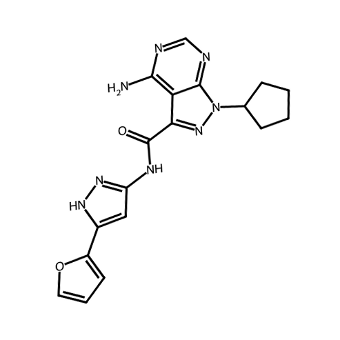 Nc1ncnc2c1c(C(=O)Nc1cc(-c3ccco3)[nH]n1)nn2C1CCCC1